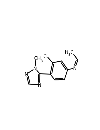 C/C=N\c1ccc(-c2ncnn2C)c(Cl)c1